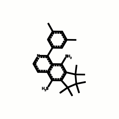 Bc1c2c(c(B)c3c(-c4cc(C)cc(C)c4)nccc13)C(C)(C)C(C)(C)C2(C)C